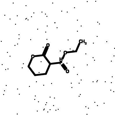 CCO[PH](=O)C1CCCOC1=O